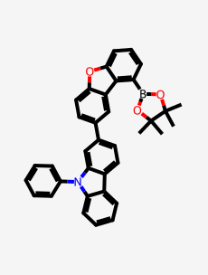 CC1(C)OB(c2cccc3oc4ccc(-c5ccc6c7ccccc7n(-c7ccccc7)c6c5)cc4c23)OC1(C)C